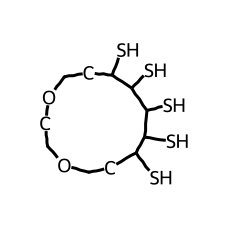 SC1CCOCCOCCC(S)C(S)C(S)C1S